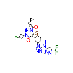 Cn1nc(C(F)F)cc1Nc1nncn1[C@H]1CCc2sc(NC(=O)[C@H]3CC34CC4)c(C(=O)N[C@H]3C[C@H](F)C3)c2C1